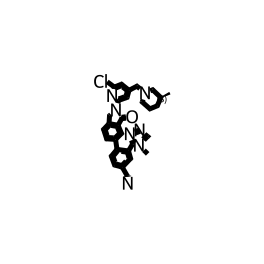 C[C@H]1CCCN(Cc2cc(Cl)nc(N3Cc4ccc(-c5ccc(C#N)cc5-c5nncn5C)cc4C3=O)c2)C1